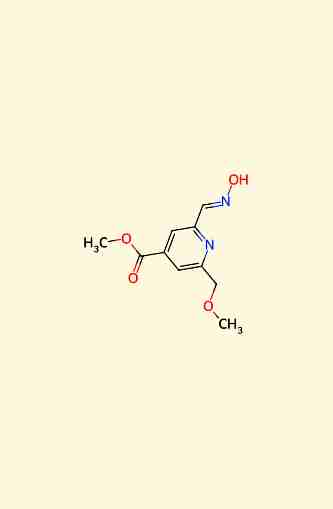 COCc1cc(C(=O)OC)cc(C=NO)n1